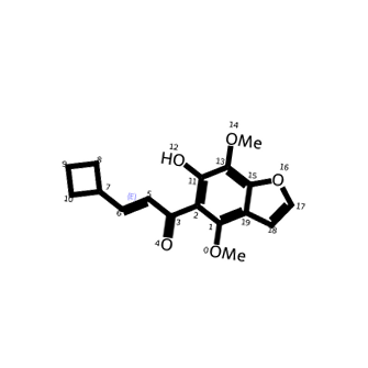 COc1c(C(=O)/C=C/C2CCC2)c(O)c(OC)c2occc12